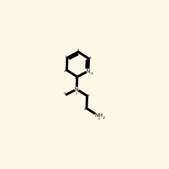 CN(CCN)C1CC=CC=N1